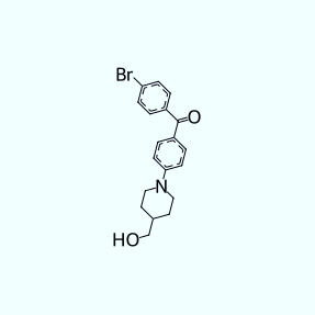 O=C(c1ccc(Br)cc1)c1ccc(N2CCC(CO)CC2)cc1